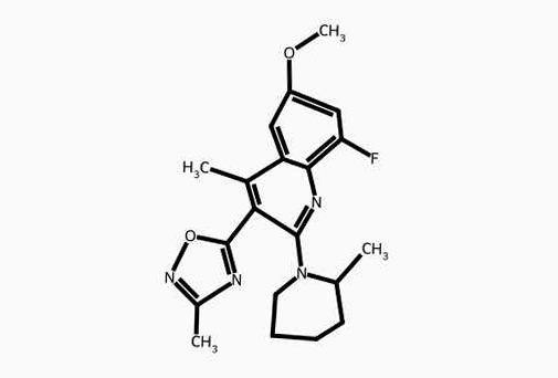 COc1cc(F)c2nc(N3CCCCC3C)c(-c3nc(C)no3)c(C)c2c1